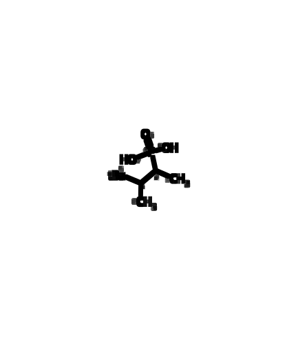 CC(C(C)P(=O)(O)O)C(C)(C)C